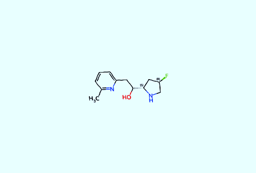 Cc1cccc(CC(O)[C@@H]2C[C@@H](F)CN2)n1